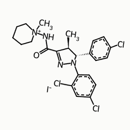 C[C@@H]1C(C(=O)N[N+]2(C)CCCCC2)=NN(c2ccc(Cl)cc2Cl)[C@H]1c1ccc(Cl)cc1.[I-]